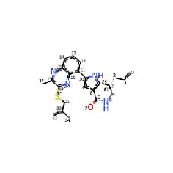 C=CC[C@@H]1CNC(=O)c2cc(-c3cccc4nc(C)c(SCC(=C)C)nc34)[nH]c21